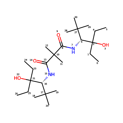 CCC(O)(CC)[C@H](NC(=O)C(C)(C)C(=O)N[C@H](C(C)(C)C)C(O)(CC)CC)C(C)(C)C